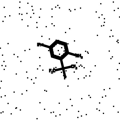 CC(C)c1ccc(N)c(C(F)(C(F)(F)F)C(F)(F)F)c1